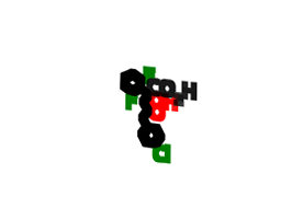 O=C(Cc1ccc(Cl)cc1)CC(O)(C(=O)O)c1c(F)cccc1F